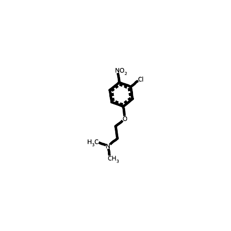 CN(C)CCOc1ccc([N+](=O)[O-])c(Cl)c1